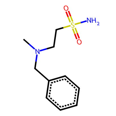 CN(CCS(N)(=O)=O)Cc1ccccc1